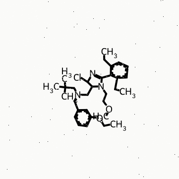 CCOc1cccc(CN(CC2C(Cl)N=C(c3c(CC)cccc3CC)N2CCOC)CC(C)(C)C)c1